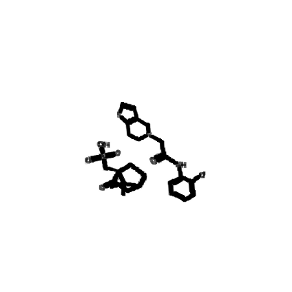 CC1(C)C2CC[C@@]1(CS(=O)(=O)O)C(=O)C2.O=C(CN1CCc2sccc2C1)Nc1ccccc1Cl